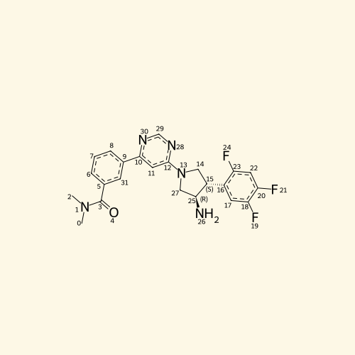 CN(C)C(=O)c1cccc(-c2cc(N3C[C@H](c4cc(F)c(F)cc4F)[C@@H](N)C3)ncn2)c1